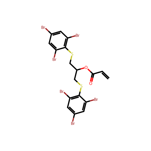 C=CC(=O)OC(CSc1c(Br)cc(Br)cc1Br)CSc1c(Br)cc(Br)cc1Br